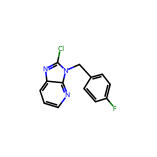 Fc1ccc(Cn2c(Cl)nc3cccnc32)cc1